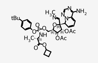 CN=C[C@@]1(C2C=CC=C3C(N)=NC=NN32)O[C@H](COP(=O)(N[C@@H](C)C(=O)OC2CCC2)Oc2ccc(C(C)(C)C)cc2)[C@@H](OC(C)=O)[C@H]1OC(C)=O